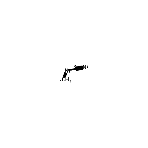 C=NC#N